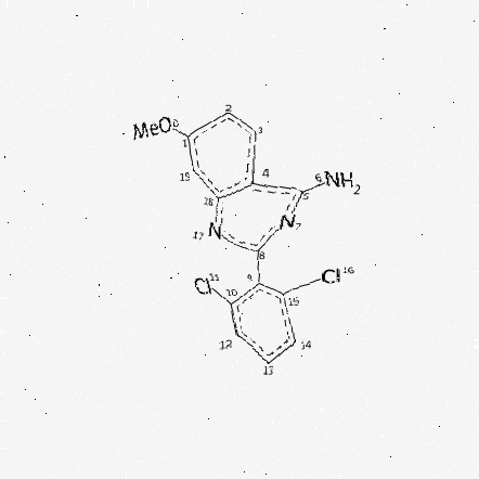 COc1ccc2c(N)nc(-c3c(Cl)cccc3Cl)nc2c1